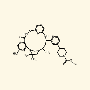 CC1CC(c2cc(C3CCN(C(=O)OC(C)(C)C)CC3)ccn2)Nc2cccc(n2)SNC(=O)c2ccc(C(C)(C)C)nc2N2CC1CC2(C)C